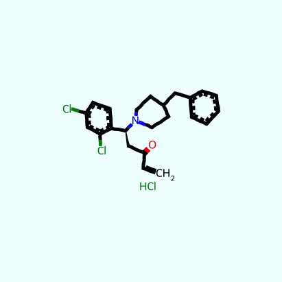 C=CC(=O)C[C@@H](c1ccc(Cl)cc1Cl)N1CCC(Cc2ccccc2)CC1.Cl